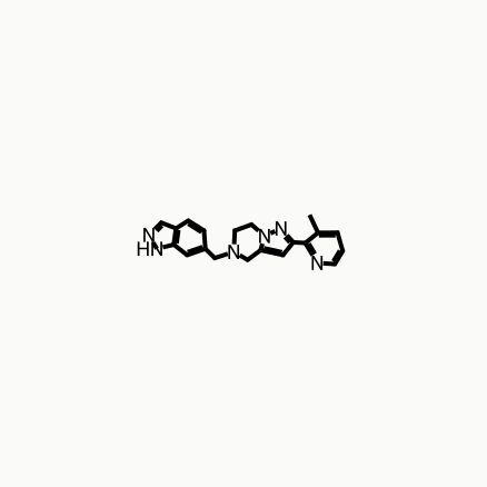 Cc1cccnc1-c1cc2n(n1)CCN(Cc1ccc3cn[nH]c3c1)C2